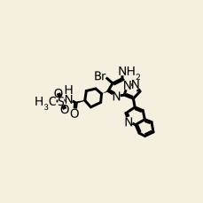 CS(=O)(=O)NC(=O)[C@H]1CC[C@H](c2nc3c(-c4cnc5ccccc5c4)cnn3c(N)c2Br)CC1